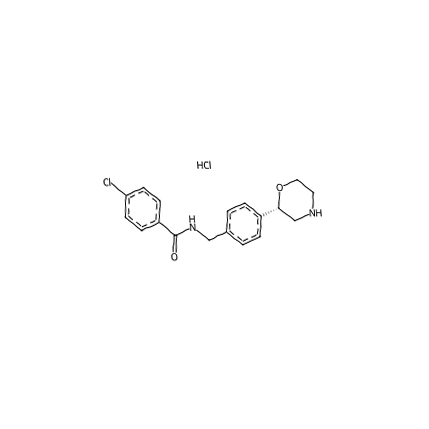 Cl.O=C(NCc1ccc([C@H]2CNCCO2)cc1)c1ccc(Cl)cc1